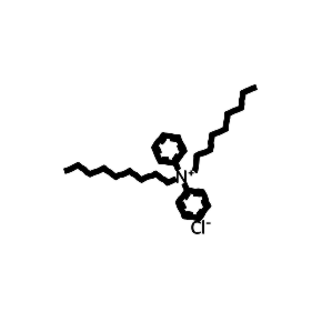 CCCCCCCCC[N+](CCCCCCCCC)(c1ccccc1)c1ccccc1.[Cl-]